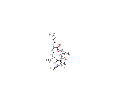 CCCCCC(CCCCC)C(=O)OCC(C)OC(=O)C(C)CCN(C)C